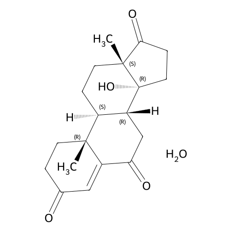 C[C@]12CCC(=O)C=C1C(=O)C[C@@H]1[C@@H]2CC[C@]2(C)C(=O)CC[C@@]12O.O